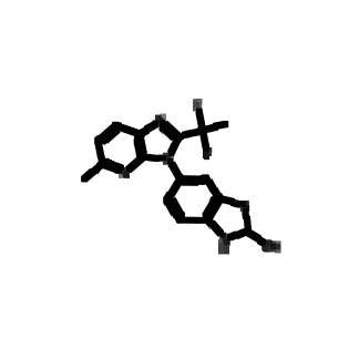 Cc1ccc2nc(C(C)(F)F)n(-c3ccc4c(c3)SC(O)N4)c2n1